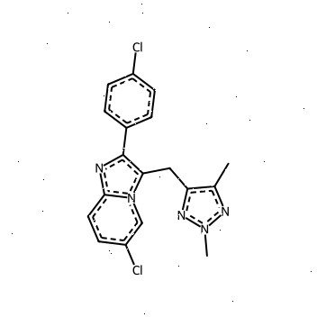 Cc1nn(C)nc1Cc1c(-c2ccc(Cl)cc2)nc2ccc(Cl)cn12